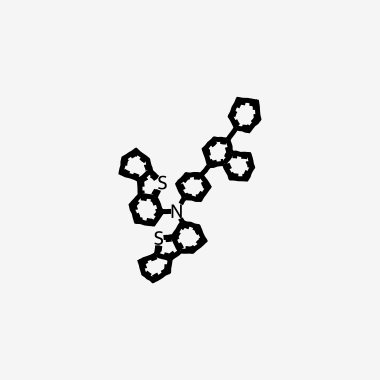 c1ccc(-c2ccc(-c3ccc(N(c4cccc5c4sc4ccccc45)c4cccc5c4sc4ccccc45)cc3)c3ccccc23)cc1